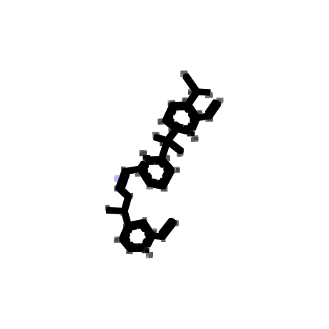 C=Cc1cc(C(C)C/C=C\c2cccc(C(C)(C)c3ccc(C(C)C)c(C=C)n3)n2)ccn1